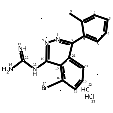 Cc1ccccc1-c1nnc(NC(=N)N)c2c(Br)cccc12.Cl.Cl